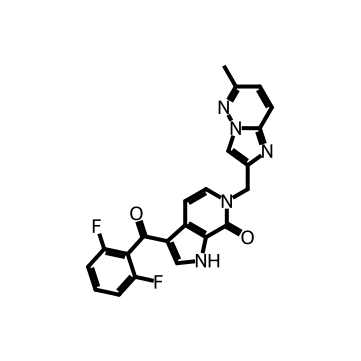 Cc1ccc2nc(Cn3ccc4c(C(=O)c5c(F)cccc5F)c[nH]c4c3=O)cn2n1